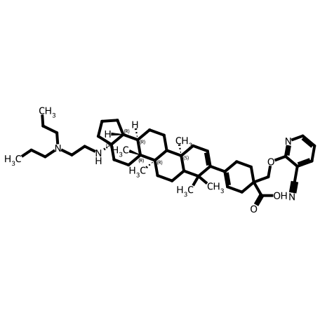 CCCN(CCC)CCN[C@]12CCC[C@@H]1[C@H]1CCC3[C@@]4(C)CC=C(C5=CCC(COc6ncccc6C#N)(C(=O)O)CC5)C(C)(C)C4CC[C@@]3(C)[C@]1(C)CC2